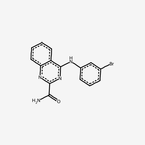 NC(=O)c1nc(Nc2cccc(Br)c2)c2c[c]ccc2n1